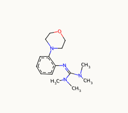 CN(C)C(=Nc1ccccc1N1CCOCC1)N(C)C